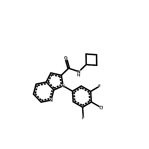 O=C(NC1CCC1)c1cc2cccnc2n1-c1cc(F)c(Cl)c(F)c1